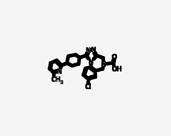 Cc1cccc(C2CCC(c3nnc4n3-c3ccc(Cl)cc3CN(C(=O)O)C4)CC2)n1